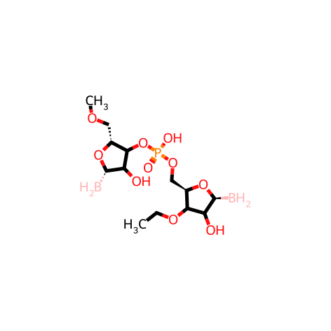 B[C@@H]1O[C@H](COP(=O)(O)OC2C(O)[C@H](B)O[C@@H]2COC)C(OCC)C1O